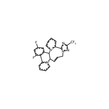 Fc1cc(F)c2c(c1)C1C(/C=C/Cn3nc(C(F)(F)F)nc3-c3cccc[n+]31)[n+]1ccccc1-2